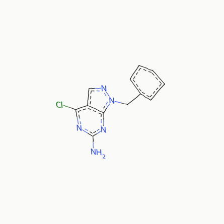 Nc1nc(Cl)c2cnn(Cc3ccccc3)c2n1